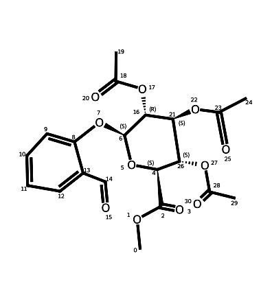 COC(=O)[C@H]1O[C@@H](Oc2ccccc2C=O)[C@H](OC(C)=O)[C@@H](OC(C)=O)[C@@H]1OC(C)=O